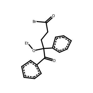 CCOC(CCC(=O)Br)(C(=O)c1ccccc1)c1ccccc1